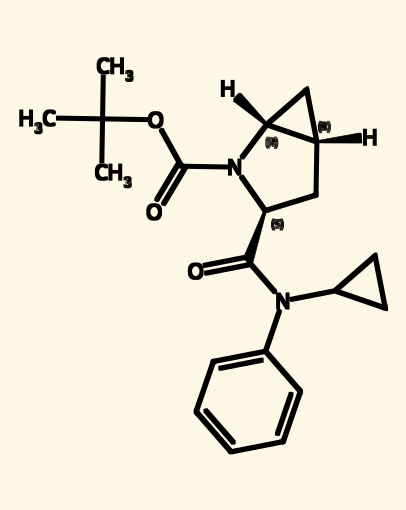 CC(C)(C)OC(=O)N1[C@@H]2C[C@@H]2C[C@H]1C(=O)N(c1ccccc1)C1CC1